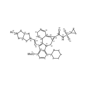 COc1ccc(C2CCCCC2)c2c1cc1n2CC2=C(C(=O)NS(=O)(=O)C3CC3)C2=C2C=CC[C@@H](C(=O)N3CC4CN(C(C)=O)CC4C3)C21